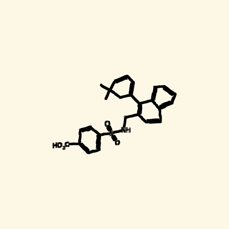 CC1(C)C=CC=C(c2c(CNS(=O)(=O)c3ccc(C(=O)O)cc3)ccc3ccccc23)C1